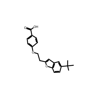 CC(C)(C)c1ccc2oc(CCOc3ccc(C(=O)O)cc3)cc2c1